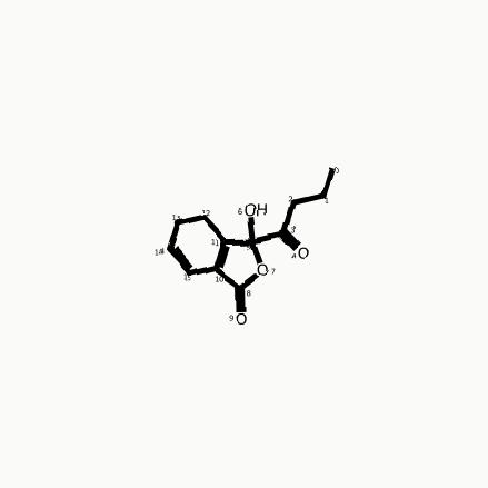 CCCC(=O)C1(O)OC(=O)C2=C1CCC=C2